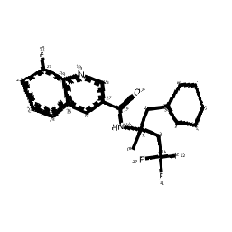 CC(CC1CCCCC1)(CC(F)(F)F)NC(=O)c1cnc2c(F)cccc2c1